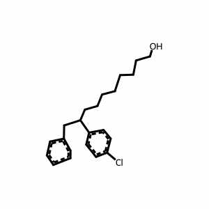 OCCCCCCCCC(Cc1ccccc1)c1ccc(Cl)cc1